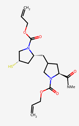 C=CCOC(=O)N1C[C@@H](S)C[C@H]1CC1C[C@@H](C(=O)NC)N(C(=O)OCC=C)C1